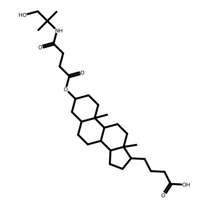 CC(C)(CO)NC(=O)CCC(=O)OC1CCC2(C)C(CCC3C4CCC(CCCC(=O)O)C4(C)CCC32)C1